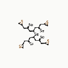 [Se]=C(CC1CS1)CC(CC(=[Se])CC1CS1)[Se]C(CC(=[Se])CC1CS1)CC(=[Se])CC1CS1